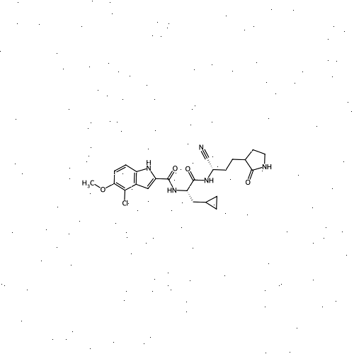 COc1ccc2[nH]c(C(=O)N[C@@H](CC3CC3)C(=O)N[C@H](C#N)CCC3CCNC3=O)cc2c1Cl